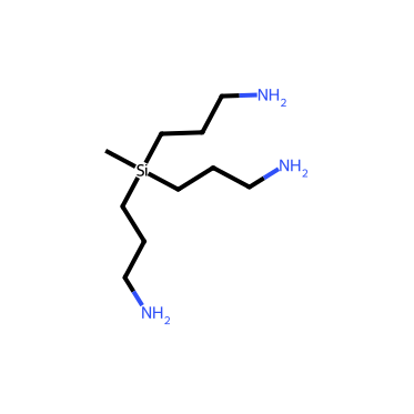 C[Si](CCCN)(CCCN)CCCN